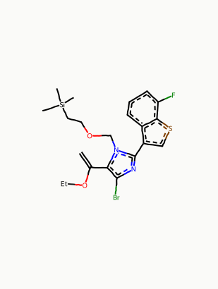 C=C(OCC)c1c(Br)nc(-c2csc3c(F)cccc23)n1COCC[Si](C)(C)C